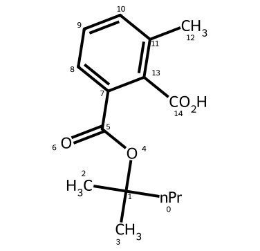 CCCC(C)(C)OC(=O)c1cccc(C)c1C(=O)O